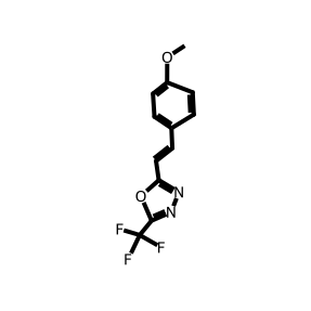 COc1ccc(C=Cc2nnc(C(F)(F)F)o2)cc1